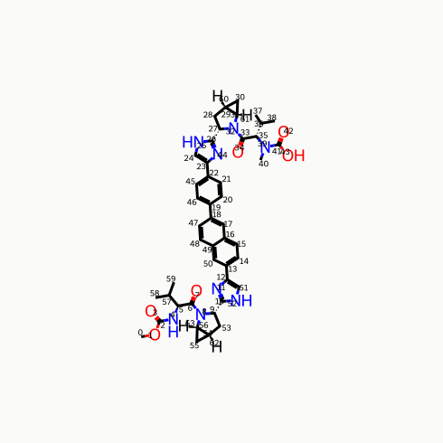 COC(=O)N[C@H](C(=O)N1[C@H](c2nc(-c3ccc4cc(-c5ccc(-c6c[nH]c([C@@H]7C[C@@H]8C[C@@H]8N7C(=O)[C@H](C(C)C)N(C)C(=O)O)n6)cc5)ccc4c3)c[nH]2)C[C@@H]2C[C@@H]21)C(C)C